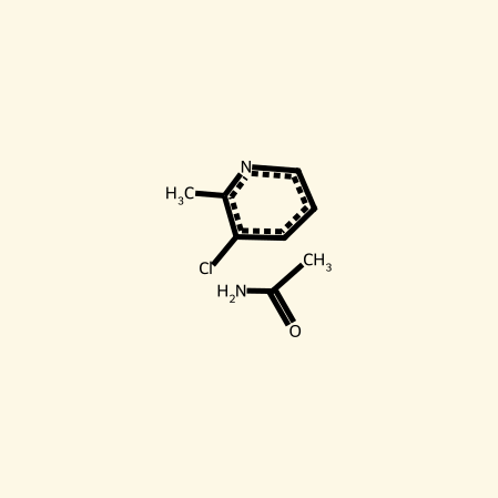 CC(N)=O.Cc1ncccc1Cl